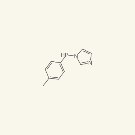 Cc1ccc(Pn2ccnc2)cc1